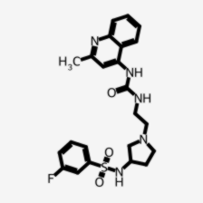 Cc1cc(NC(=O)NCCN2CCC(NS(=O)(=O)c3cccc(F)c3)C2)c2ccccc2n1